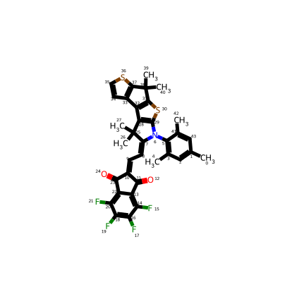 Cc1cc(C)c(N2/C(=C/C=C3C(=O)c4c(F)c(F)c(F)c(F)c4C3=O)C(C)(C)c3c2sc2c3-c3ccsc3C2(C)C)c(C)c1